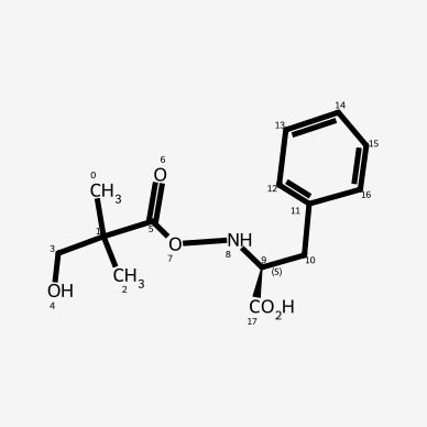 CC(C)(CO)C(=O)ON[C@@H](Cc1ccccc1)C(=O)O